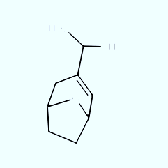 CC(C)C1=CC2CCC(C1)O2